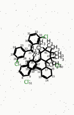 CC12C(=C3Cc4ccccc4C3=C3C=CCCC31)[C](C)([Zr+2](=[C](c1cccc(Cl)c1)c1cccc(Cl)c1)[CH]1C=CC=C1)C(C)(C)C(C)(C)C2(C)C.[Cl-].[Cl-]